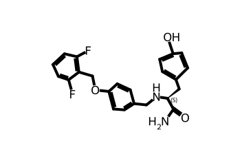 NC(=O)[C@H](Cc1ccc(O)cc1)NCc1ccc(OCc2c(F)cccc2F)cc1